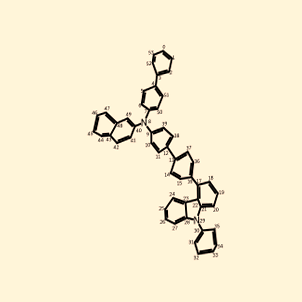 c1ccc(-c2ccc(N(c3ccc(-c4ccc(-c5cccc6c5c5ccccc5n6-c5ccccc5)cc4)cc3)c3ccc4ccccc4c3)cc2)cc1